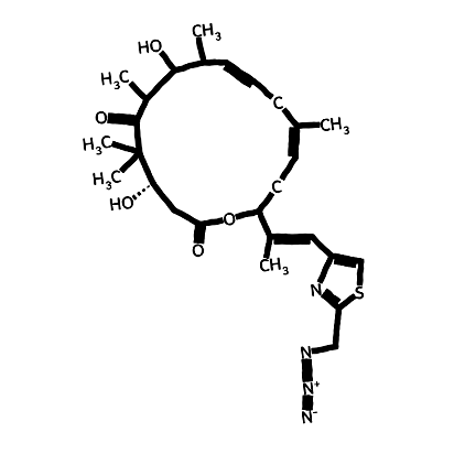 C/C1=C/CC(/C(C)=C/c2csc(CN=[N+]=[N-])n2)OC(=O)C[C@H](O)C(C)(C)C(=O)C(C)C(O)C(C)/C=C/C1